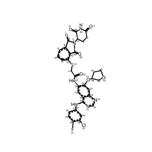 O=C1CCC(N2C(=O)c3cccc(SCC(=O)Nc4cc5c(Nc6ccc(F)c(Cl)c6)ncnc5cc4O[C@H]4CCOC4)c3C2=O)C(=O)N1